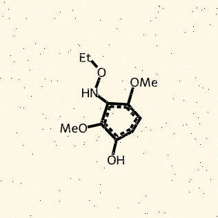 CCONc1c(OC)ccc(O)c1OC